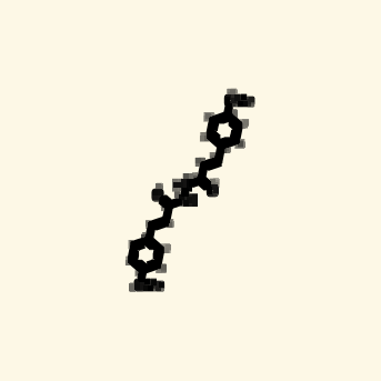 COc1ccc(/C=C/C(=O)NNC(=O)/C=C/c2ccc(OC)cc2)cc1